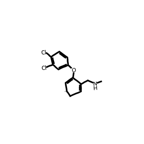 CNCC1=CC[CH]C=C1Oc1ccc(Cl)c(Cl)c1